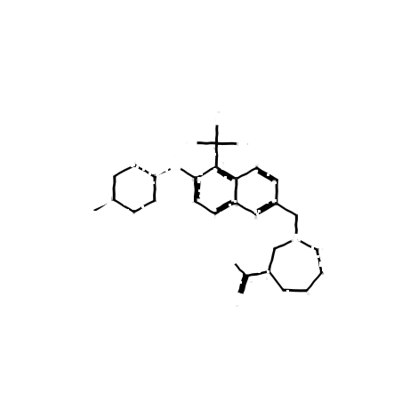 C[C@H]1CC[C@@H](Oc2ccc3cc(CN4CCCCC(C(=O)O)C4)ccc3c2C(F)(F)F)CC1